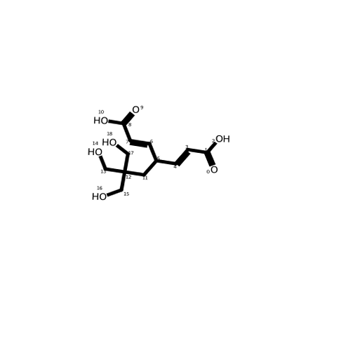 O=C(O)C=CC(C=CC(=O)O)CC(CO)(CO)CO